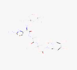 CC1(C)CC(O/N=C(\C(=O)N[C@H]2CON(C3(C(=O)O)CC(N4C=C5C=C(O)C(O)=CN5S4(=O)=O)C(=O)O3)C2=O)c2csc(N)n2)(C(=O)O)CCO1